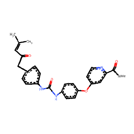 CNC(=O)c1cc(Oc2ccc(NC(=O)Nc3ccc(CC(=O)C=C(C)C)cc3)cc2)ccn1